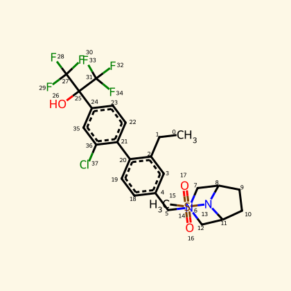 CCc1cc(CN2CC3CCC(C2)N3S(C)(=O)=O)ccc1-c1ccc(C(O)(C(F)(F)F)C(F)(F)F)cc1Cl